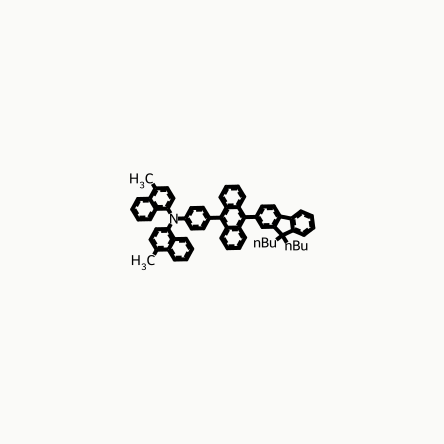 CCCCC1(CCCC)c2ccccc2-c2ccc(-c3c4ccccc4c(-c4ccc(N(c5ccc(C)c6ccccc56)c5ccc(C)c6ccccc56)cc4)c4ccccc34)cc21